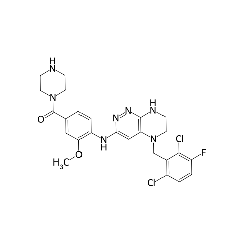 COc1cc(C(=O)N2CCNCC2)ccc1Nc1cc2c(nn1)NCCN2Cc1c(Cl)ccc(F)c1Cl